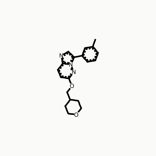 Cc1cccc(-c2cnc3ccc(OCC4CCOCC4)nn23)c1